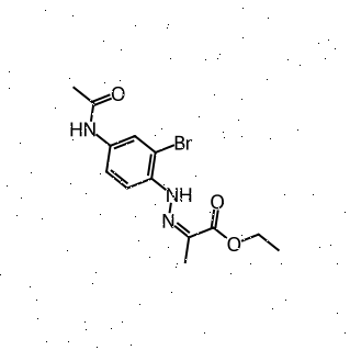 CCOC(=O)C(C)=NNc1ccc(NC(C)=O)cc1Br